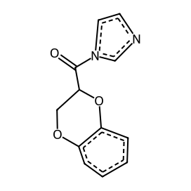 O=C(C1COc2ccccc2O1)n1ccnc1